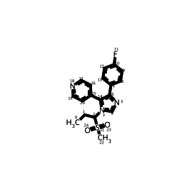 CCC(n1cnc(-c2ccc(F)cc2)c1-c1ccncc1)S(C)(=O)=O